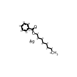 CCCCCCCCOC(=O)c1ccccc1.[Ag]